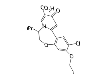 CSCCOc1cc2c(cc1Cl)-c1cc(=O)c(C(=O)O)cn1C(C(C)C)CO2